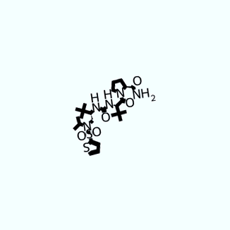 CC(C)N(C[C@@H](NC(=O)N[C@H](C(=O)N1CCC[C@H]1C(N)=O)C(C)(C)C)C(C)(C)C)S(=O)(=O)c1cccs1